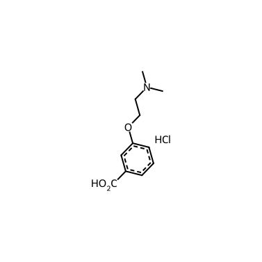 CN(C)CCOc1cccc(C(=O)O)c1.Cl